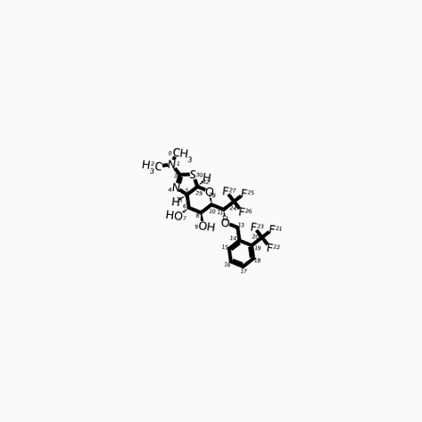 CN(C)C1=N[C@@H]2[C@@H](O)[C@H](O)[C@@H]([C@@H](OCc3ccccc3C(F)(F)F)C(F)(F)F)O[C@@H]2S1